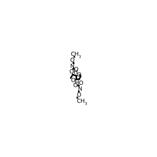 CCO/C=N/C(=O)O[C@H]1CO[C@H]2[C@@H]1OC[C@H]2OC(=O)/N=C/OCC